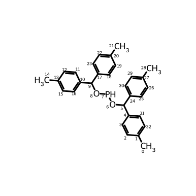 Cc1ccc(C(OPOC(c2ccc(C)cc2)c2ccc(C)cc2)c2ccc(C)cc2)cc1